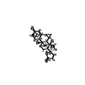 CC[C@]12CC[C@H]3[C@@H](C4CC4C4=CC(=O)CC[C@@]43C)[C@@H]1CC[C@@]21CCC(=O)O1